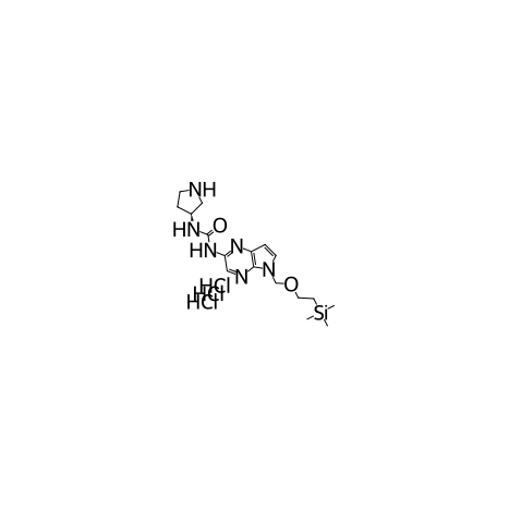 C[Si](C)(C)CCOCn1ccc2nc(NC(=O)N[C@H]3CCNC3)cnc21.Cl.Cl.Cl